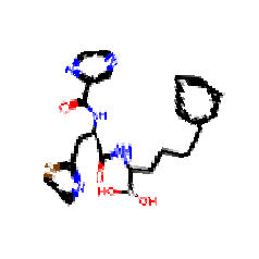 O=C(NC(Cc1nccs1)C(=O)NC(CCCc1ccccc1)B(O)O)c1cnccn1